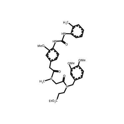 CCOC(=O)CCN(Cc1ccc(OC)c(OC)c1)C(=O)CN(C)C(=O)Cc1ccc(NC(=O)Nc2ccccc2C)c(OC)c1